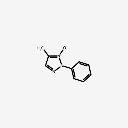 Cc1cnn(-c2ccccc2)[n+]1[O-]